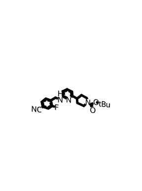 CC(C)(C)OC(=O)N1CCC(c2cccc(NCc3ccc(C#N)cc3F)n2)CC1